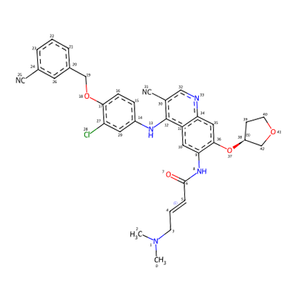 CN(C)C/C=C/C(=O)Nc1cc2c(Nc3ccc(OCc4cccc(C#N)c4)c(Cl)c3)c(C#N)cnc2cc1O[C@H]1CCOC1